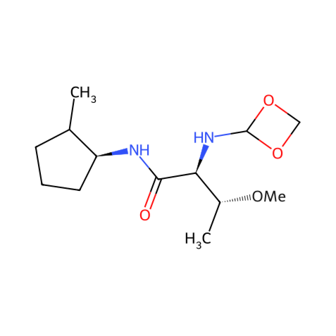 CO[C@H](C)[C@H](NC1OCO1)C(=O)N[C@H]1CCCC1C